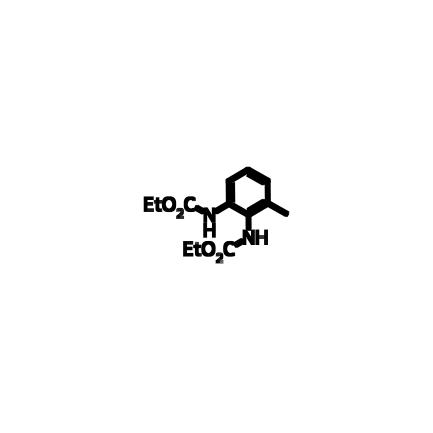 CCOC(=O)Nc1cccc(C)c1NC(=O)OCC